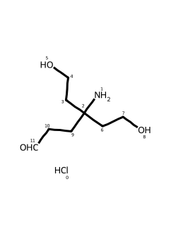 Cl.NC(CCO)(CCO)CCC=O